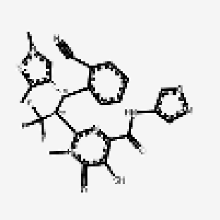 Cc1nn(C)cc1[C@H](c1ccccc1C#N)[C@@H](c1nc(C(=O)Nc2cnoc2)c(O)c(=O)n1C)C(F)(F)F